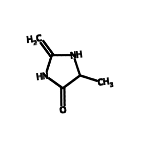 C=C1NC(=O)C(C)N1